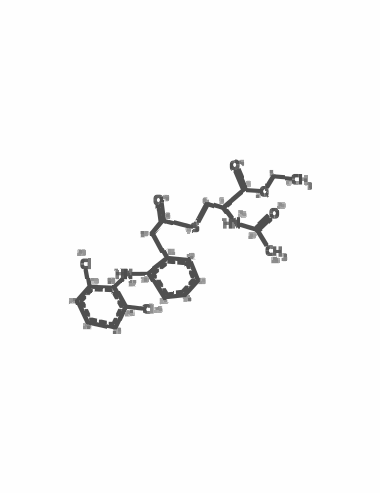 CCOC(=O)C(CSC(=O)Cc1ccccc1Nc1c(Cl)cccc1Cl)NC(C)=O